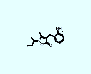 CCC(C)n1oc(=O)c(Cc2ccccc2N)c1C